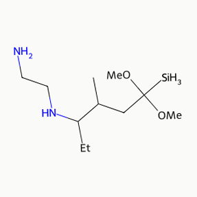 CCC(NCCN)C(C)CC([SiH3])(OC)OC